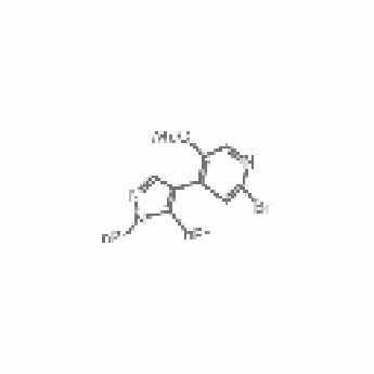 CCCc1c(-c2cc(Br)ncc2OC)cnn1CCC